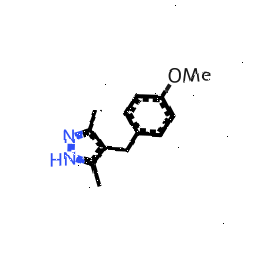 [CH2]c1n[nH]c(C)c1Cc1ccc(OC)cc1